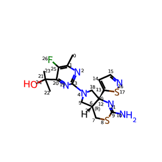 Cc1nc(N2C[C@H]3CSC(N)=N[C@@]3(c3ccns3)C2)nc(C(C)(C)O)c1F